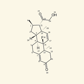 C[C@@H]1C[C@H]2[C@@H]3CCC4=CC(=O)CC[C@]4(C)[C@@]3(F)C=C[C@]2(C)[C@H]1C(=O)CO